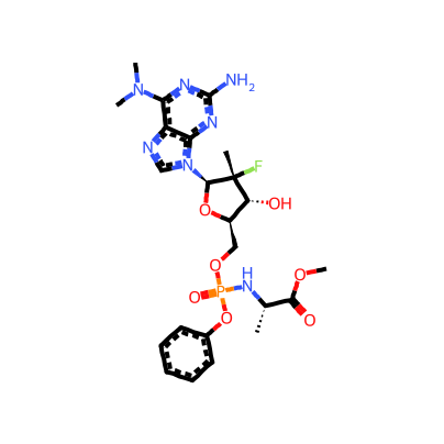 COC(=O)[C@H](C)NP(=O)(OC[C@H]1O[C@@H](n2cnc3c(N(C)C)nc(N)nc32)[C@](C)(F)[C@@H]1O)Oc1ccccc1